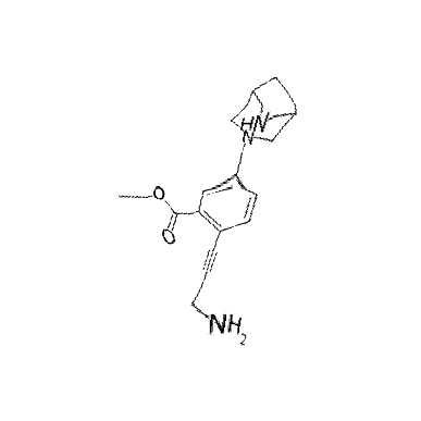 COC(=O)c1cc(N2CC3CC(C2)N3)ccc1C#CCN